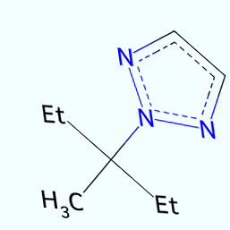 CCC(C)(CC)n1nccn1